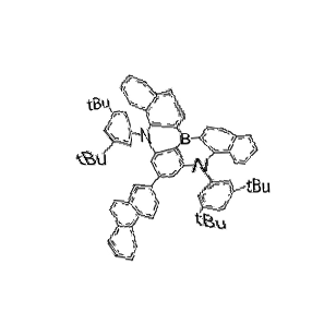 CC(C)(C)c1cc(N2c3cc(-c4ccc5c(ccc6ccccc65)c4)cc4c3B(c3ccc5ccccc5c32)c2ccc3ccccc3c2N4c2cc(C(C)(C)C)cc(C(C)(C)C)c2)cc(C(C)(C)C)c1